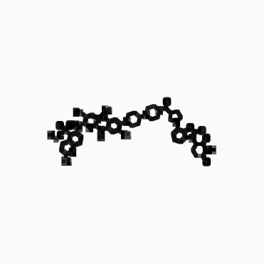 CCOc1cc(N2CCC(N3CCN(C(=O)C4CCN(c5cccc6c5oc(=O)n6C5CCC(=O)NC5=O)C4)CC3)CC2)c(CC)cc1Nc1ncc(Br)c(Nc2ccc3nc(CC)ccc3c2P(C)(C)=O)n1